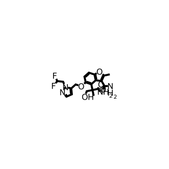 Cc1oc2ccc(OCc3ccnn3CC(F)F)c(C(C)(CO)C(N)=O)c2c1C(N)=O